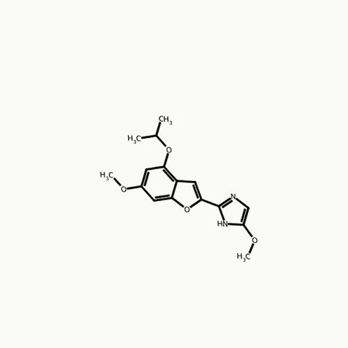 COc1cc(OC(C)C)c2cc(-c3ncc(OC)[nH]3)oc2c1